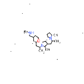 CC(C)NCC1CCOC(CC(C)N2CCC(CC(C)N3CCC[C@@H]3C#N)[C@H]2C#N)C1